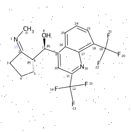 C/N=C1/CCC[C@H]1[C@@H](O)c1cc(C(F)(F)F)nc2c(C(F)(F)F)cccc12